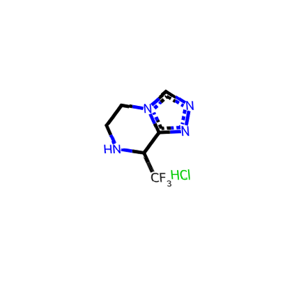 Cl.FC(F)(F)C1NCCn2cnnc21